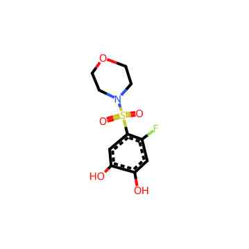 O=S(=O)(c1cc(O)c(O)cc1F)N1CCOCC1